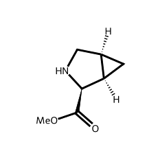 COC(=O)[C@H]1NC[C@H]2C[C@H]21